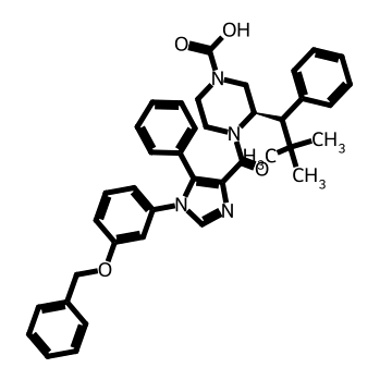 CC(C)(C)C(c1ccccc1)[C@@H]1CN(C(=O)O)CCN1C(=O)c1ncn(-c2cccc(OCc3ccccc3)c2)c1-c1ccccc1